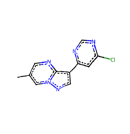 Cc1cnc2c(-c3cc(Cl)ncn3)cnn2c1